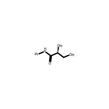 CC(C)NC(=O)[C@@H](O)CO